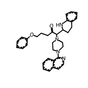 O=C(CCCOc1ccccc1)C(C1CCc2ccccc2N1)N1CCN(c2nccc3ccccc23)CC1